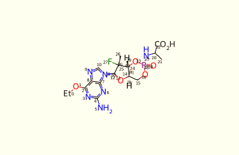 CCOc1nc(N)nc2c1ncn2[C@@H]1O[C@@H]2CO[P@@](=O)(NC(C)C(=O)O)O[C@H]2[C@@]1(C)F